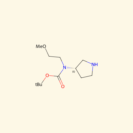 COCCN(C(=O)OC(C)(C)C)[C@H]1CCNC1